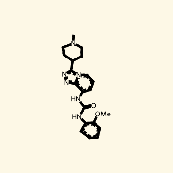 COc1ccccc1NC(=O)Nc1cccn2c(C3CCN(C)CC3)nnc12